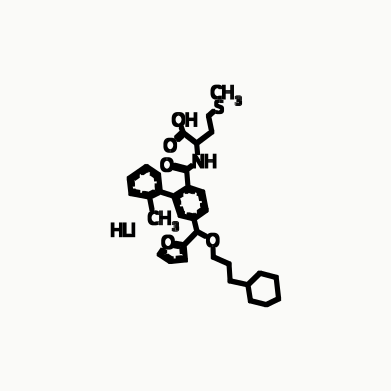 CSCCC(NC(=O)c1ccc(C(OCCCC2CCCCC2)c2ccco2)cc1-c1ccccc1C)C(=O)O.[LiH]